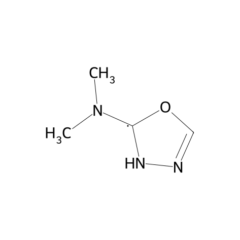 CN(C)[C]1NN=CO1